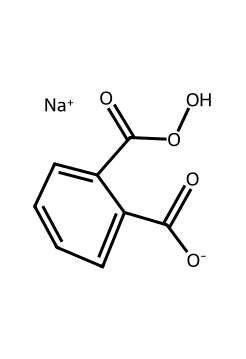 O=C([O-])c1ccccc1C(=O)OO.[Na+]